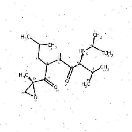 CC(C)CC(NC(=O)[C@@H](NC(C)C)C(C)C)C(=O)[C@@]1(C)CO1